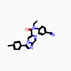 CCN(C(=O)c1cn2c(-c3ccc(C)cc3)cnc2cn1)c1ccc(C#N)cc1